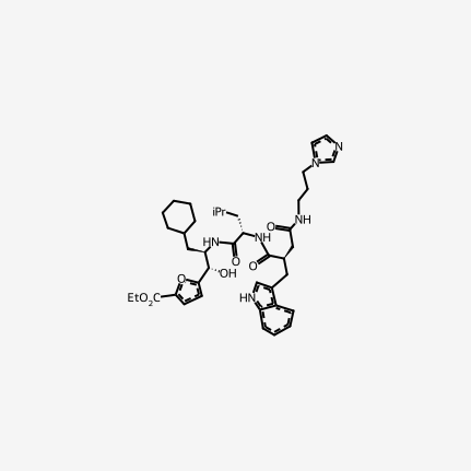 CCOC(=O)c1ccc([C@@H](O)[C@@H](CC2CCCCC2)NC(=O)[C@H](CC(C)C)NC(=O)[C@@H](CC(=O)NCCCn2ccnc2)Cc2c[nH]c3ccccc23)o1